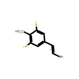 CC(C)/C=C/c1cc(F)c(C(=O)O)c(F)c1